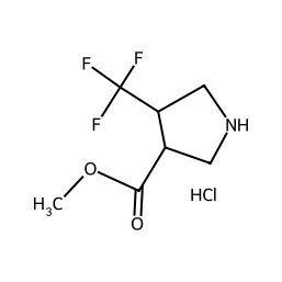 COC(=O)C1CNCC1C(F)(F)F.Cl